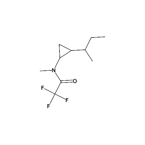 CCC(C)C1CC1N(C)C(=O)C(F)(F)F